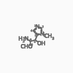 Cn1cncc1C(O)C(N)C=O